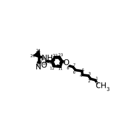 CCCCCCCCCOc1ccc(C(=O)NC2(C#N)CC2)cc1